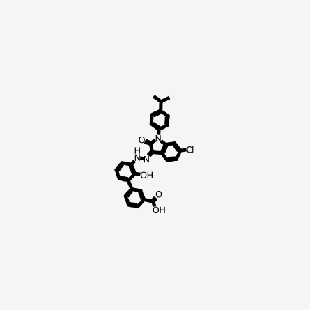 CC(C)c1ccc(N2C(=O)C(=NNc3cccc(-c4cccc(C(=O)O)c4)c3O)c3ccc(Cl)cc32)cc1